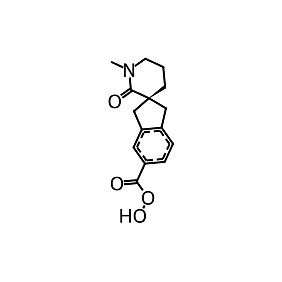 CN1CCC[C@]2(Cc3ccc(C(=O)OO)cc3C2)C1=O